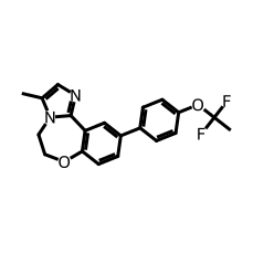 Cc1cnc2n1CCOc1ccc(-c3ccc(OC(C)(F)F)cc3)cc1-2